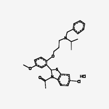 COc1ccc(OCCCN(Cc2ccccc2)C(C)C)c(C2Sc3cc(Cl)ccc3N2C(C)=O)c1.Cl